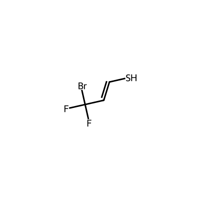 FC(F)(Br)C=CS